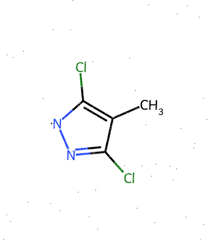 CC1=C(Cl)[N]N=C1Cl